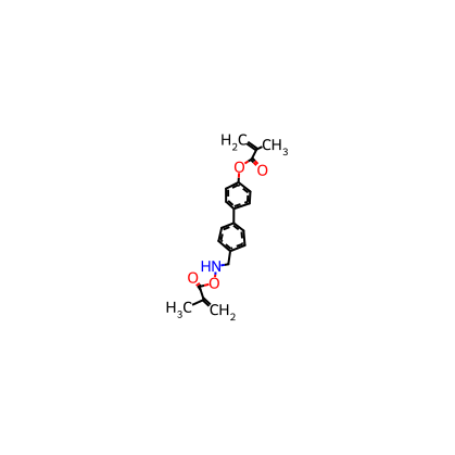 C=C(C)C(=O)ONCc1ccc(-c2ccc(OC(=O)C(=C)C)cc2)cc1